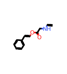 C=CNCC(=O)OC=Cc1ccccc1